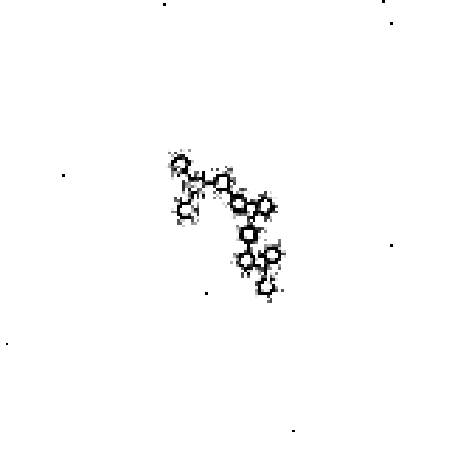 c1ccc(-n2c3ccccc3c3c(-c4ccc(-n5c6ccccc6c6cc(-c7cccc(-c8nc(-c9ccccn9)nc(-c9ccccn9)n8)c7)ccc65)cc4)cccc32)cc1